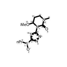 CCC[S+]([O-])c1nnc(N2C(=O)N(C)CCC2OC)s1